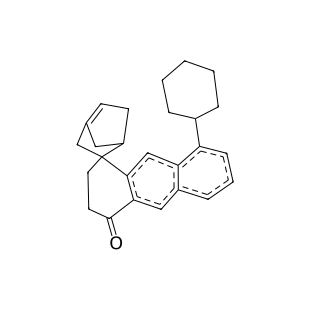 O=C1CCC2(CC3=CCC2C3)c2cc3c(C4CCCCC4)cccc3cc21